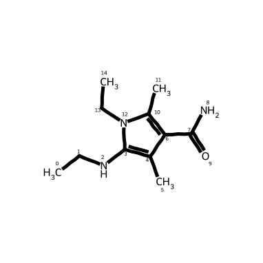 CCNc1c(C)c(C(N)=O)c(C)n1CC